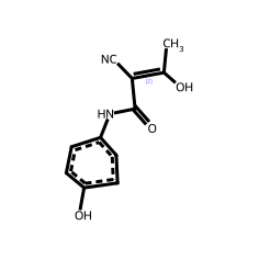 C/C(O)=C(\C#N)C(=O)Nc1ccc(O)cc1